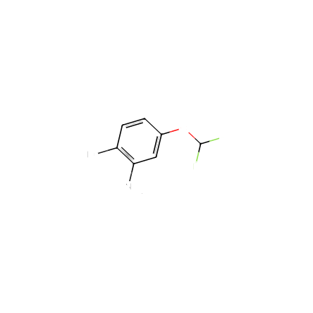 CCc1ccc(OC(F)F)cc1[N+](=O)[O-]